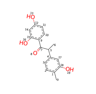 Cc1ccc(C(C)C(=O)c2ccc(O)cc2O)cc1O